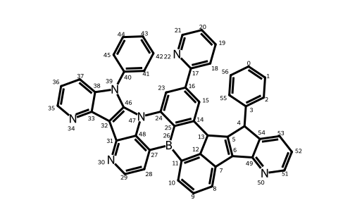 c1ccc(C2C3=C(c4cccc5c4C3c3cc(-c4ccccn4)cc4c3B5c3ccnc5c6c7ncccc7n(-c7ccccc7)c6n-4c35)c3ncccc32)cc1